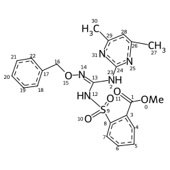 COC(=O)c1ccccc1S(=O)(=O)NC(=NOCc1ccccc1)Nc1nc(C)cc(C)n1